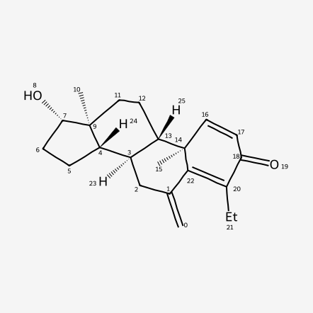 C=C1C[C@H]2[C@@H]3CC[C@H](O)[C@@]3(C)CC[C@@H]2[C@@]2(C)C=CC(=O)C(CC)=C12